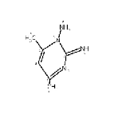 Cc1cc(C)n(N)c(=N)n1